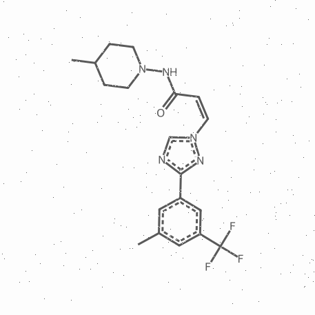 Cc1cc(-c2ncn(/C=C\C(=O)NN3CCC(C)CC3)n2)cc(C(F)(F)F)c1